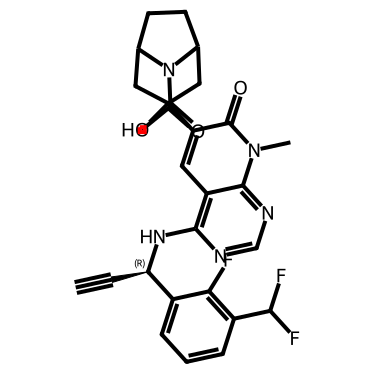 C#C[C@@H](Nc1ncnc2c1cc(C1(O)CC3CCC(C1)N3C(C)=O)c(=O)n2C)c1cccc(C(F)F)c1F